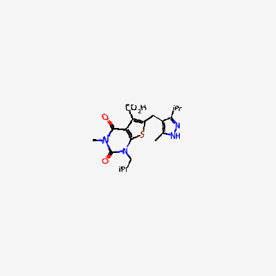 Cc1[nH]nc(C(C)C)c1Cc1sc2c(c1C(=O)O)c(=O)n(C)c(=O)n2CC(C)C